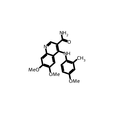 COc1ccc(Nc2c(C(N)=O)cnc3cc(OC)c(OC)cc23)c(C)c1